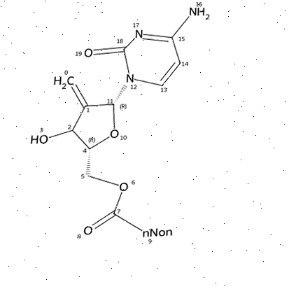 C=C1C(O)[C@@H](COC(=O)CCCCCCCCC)O[C@H]1n1ccc(N)nc1=O